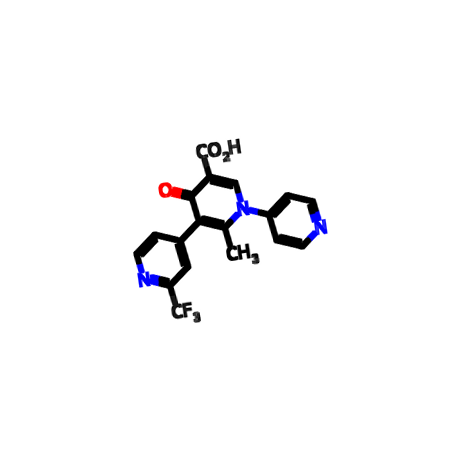 Cc1c(-c2ccnc(C(F)(F)F)c2)c(=O)c(C(=O)O)cn1-c1ccncc1